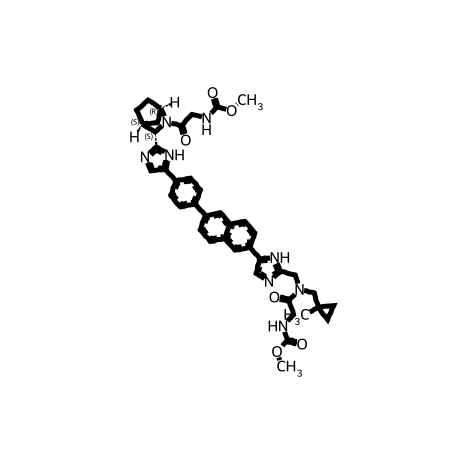 COC(=O)NCC(=O)N(Cc1ncc(-c2ccc3cc(-c4ccc(-c5cnc([C@@H]6[C@H]7CC[C@H](C7)N6C(=O)CNC(=O)OC)[nH]5)cc4)ccc3c2)[nH]1)CC1(C)CC1